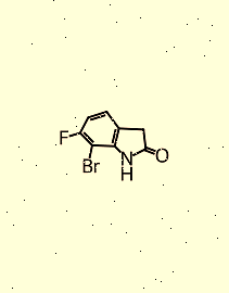 O=C1Cc2ccc(F)c(Br)c2N1